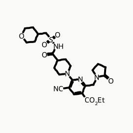 CCOC(=O)c1cc(C#N)c(N2CCC(C(=O)NS(=O)(=O)CC3CCOCC3)CC2)nc1CN1CCCC1=O